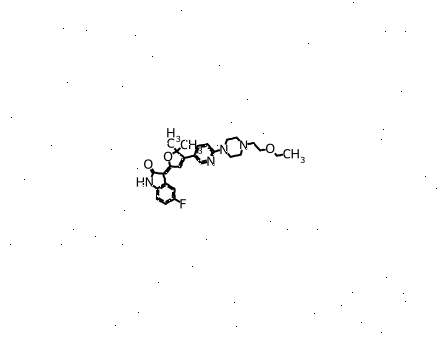 CCOCCN1CCN(c2ccc(C3=CC(=C4C(=O)Nc5ccc(F)cc54)OC3(C)C)cn2)CC1